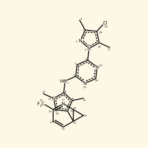 Cc1nn(-c2cc(Nc3c(C)c(C45C=CC(C(F)(F)F)=NC4C5)nn3C)ncn2)c(C)c1Cl